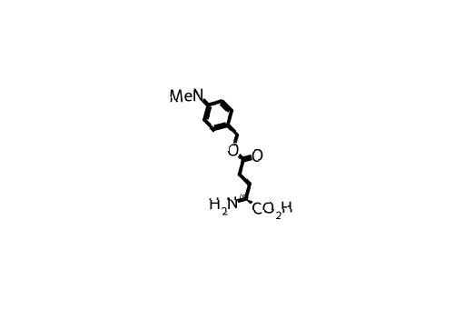 CNc1ccc(COC(=O)CC[C@H](N)C(=O)O)cc1